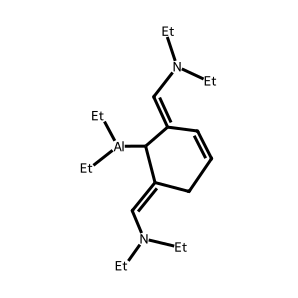 CCN(C=C1C=CCC(=CN(CC)CC)[CH]1[Al]([CH2]C)[CH2]C)CC